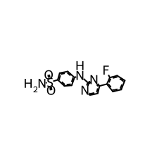 NS(=O)(=O)c1ccc(Nc2nccc(-c3ccccc3F)n2)cc1